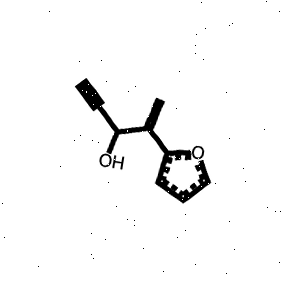 C#CC(O)C(=C)c1ccco1